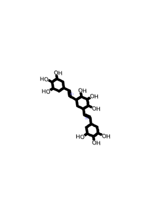 OC1CC(/C=C/C2CC(/C=C/C3CC(O)C(O)C(O)C3)C(O)C(O)C2O)CC(O)C1O